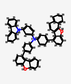 c1cc(N(c2ccc(-c3cccc4oc5ccccc5c34)cc2)c2ccc(-c3cccc4oc5c6ccccc6ccc5c34)cc2)cc(-n2c3ccccc3c3ccccc32)c1